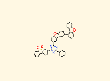 O=S1(=O)c2ccccc2-c2ccc(-c3nc(-c4ccccc4)nc(-c4ccc5oc6ccc(-c7cccc8oc9ccccc9c78)cc6c5c4)n3)cc21